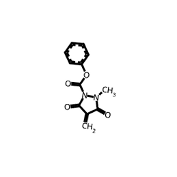 C=C1C(=O)N(C)N(C(=O)Oc2ccccc2)C1=O